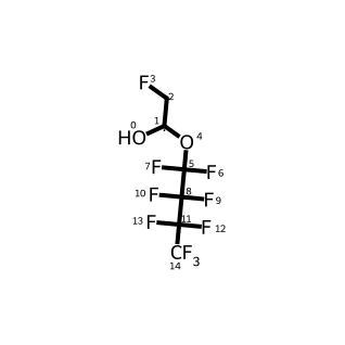 O[C](CF)OC(F)(F)C(F)(F)C(F)(F)C(F)(F)F